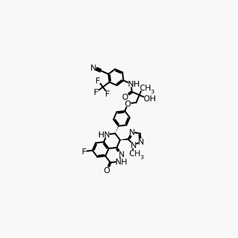 Cn1ncnc1[C@H]1c2n[nH]c(=O)c3cc(F)cc(c23)N[C@@H]1c1ccc(OCC(C)(O)C(=O)Nc2ccc(C#N)c(C(F)(F)F)c2)cc1